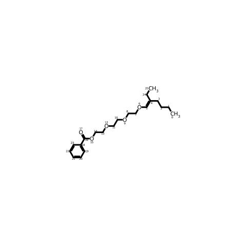 CCCC/C(=C/OCCOCCOCCOC(=O)c1ccccc1)CC